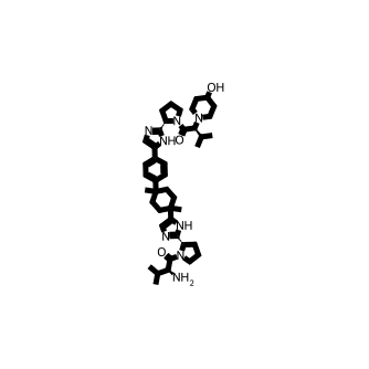 CC(C)[C@H](N)C(=O)N1CCC[C@H]1c1ncc(C2(C)CCC(C)(c3ccc(-c4cnc([C@@H]5CCCN5C(=O)[C@H](C(C)C)N5CCC(O)CC5)[nH]4)cc3)CC2)[nH]1